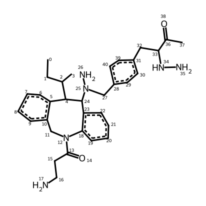 CCC(C)C1c2ccccc2CN(C(=O)CCN)c2ccccc2C1N(N)Cc1ccc(CC(NN)C(C)=O)cc1